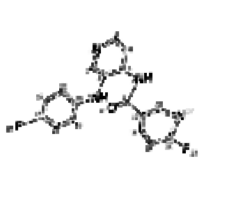 O=C(Nc1ccncc1Nc1ccc(F)cc1)c1ccc(F)nc1